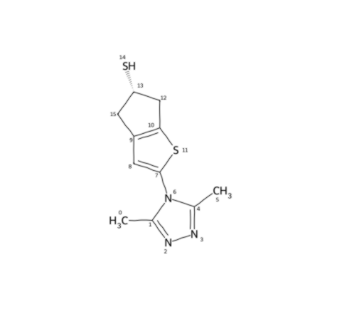 Cc1nnc(C)n1-c1cc2c(s1)C[C@@H](S)C2